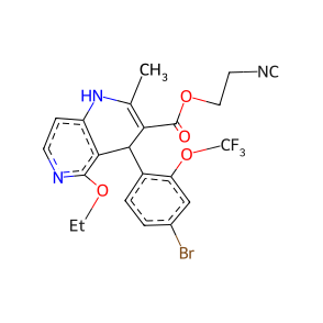 [C-]#[N+]CCOC(=O)C1=C(C)Nc2ccnc(OCC)c2C1c1ccc(Br)cc1OC(F)(F)F